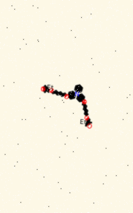 CCC1(COCCCCCCOc2ccc(N(c3ccccc3)c3ccc(OCCCCCCOCC4(CC)COC4)cc3)cc2)COC1